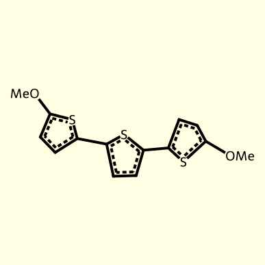 COc1ccc(-c2ccc(-c3ccc(OC)s3)s2)s1